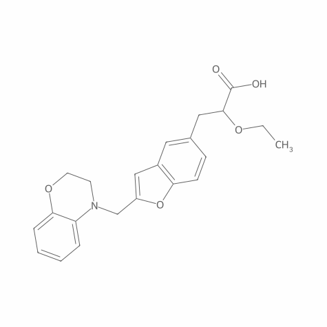 CCOC(Cc1ccc2oc(CN3CCOc4ccccc43)cc2c1)C(=O)O